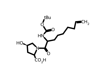 C=CCCCCCC(NC(=O)OC(C)(C)C)C(=O)N1C[C@H](O)CC1C(=O)O